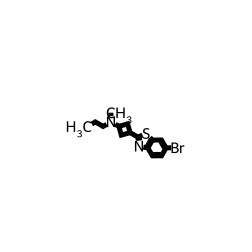 CCCN(C)C1CC(c2nc3ccc(Br)cc3s2)C1